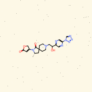 C[C@H]1CC2(CCN(CC(O)c3cnc(-n4cnnn4)cn3)CC2)C(=O)N1C1=CC(=O)OC1